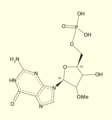 COC1C(O)[C@H](COP(=O)(O)O)O[C@@H]1n1cnc2c(=O)[nH]c(N)nc21